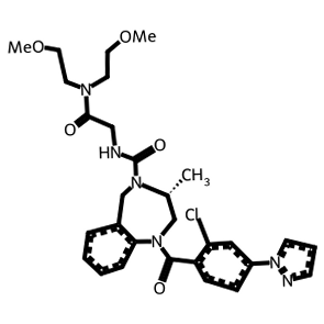 COCCN(CCOC)C(=O)CNC(=O)N1Cc2ccccc2N(C(=O)c2ccc(-n3cccn3)cc2Cl)C[C@H]1C